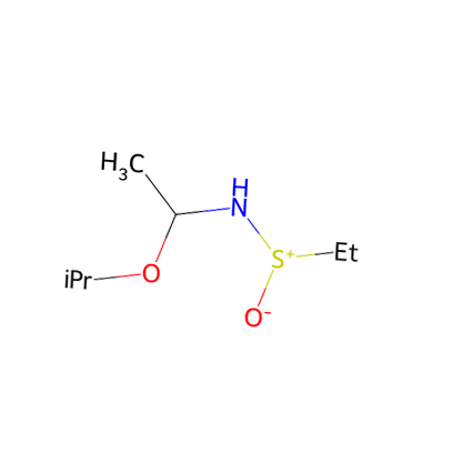 CC[S+]([O-])NC(C)OC(C)C